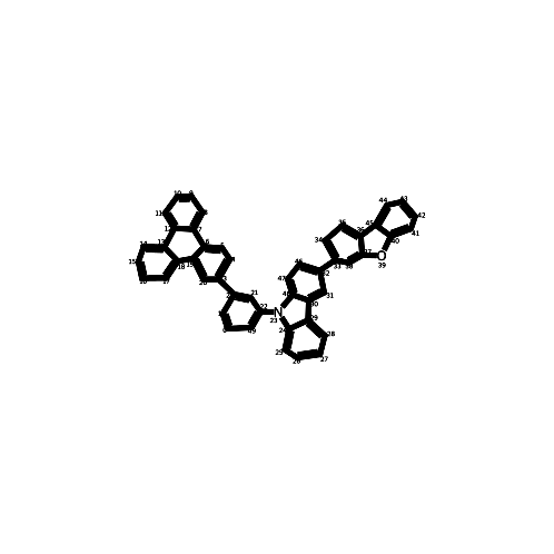 c1cc(-c2ccc3c4ccccc4c4ccccc4c3c2)cc(-n2c3ccccc3c3cc(-c4ccc5c(c4)oc4ccccc45)ccc32)c1